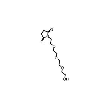 O=C1CCC(=O)N1CCOCCOCCOCCO